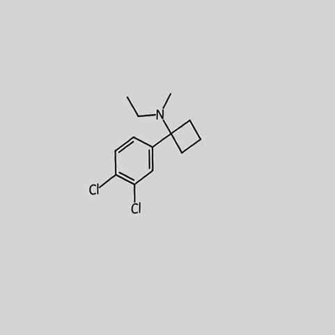 CCN(C)C1(c2ccc(Cl)c(Cl)c2)CCC1